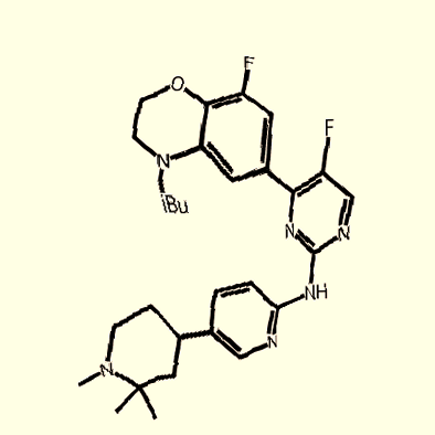 CCC(C)N1CCOc2c(F)cc(-c3nc(Nc4ccc(C5CCN(C)C(C)(C)C5)cn4)ncc3F)cc21